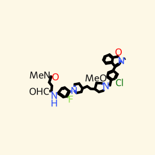 CNC(=O)CCC(C=O)Nc1ccc(N2CCC(CCC3CCN(Cc4c(Cl)cc(-c5cn(C)c(=O)c6ccccc56)cc4OC)CC3)CC2)c(F)c1